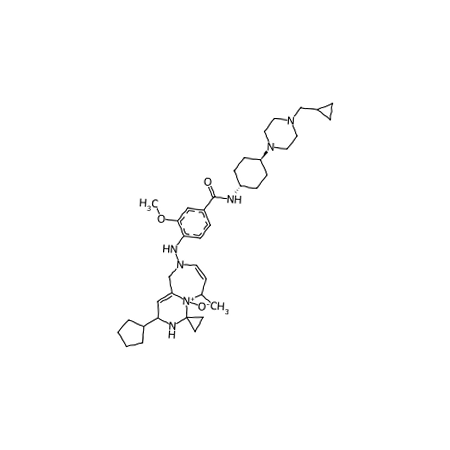 COc1cc(C(=O)N[C@H]2CC[C@H](N3CCN(CC4CC4)CC3)CC2)ccc1NN1C=CC(C)[N+]2([O-])C(=CC(C3CCCC3)NC23CC3)C1